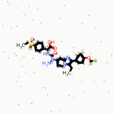 CCc1c(-c2ccc(OC(F)F)c(F)c2)nc2cc(N(N)C(=O)N[C@@H](C(=O)O)c3ccc(S(=O)(=O)CC)cc3)ccn12